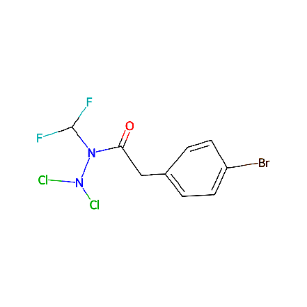 O=C(Cc1ccc(Br)cc1)N(C(F)F)N(Cl)Cl